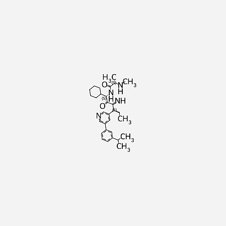 CC[C@H](C(=N)C(=O)[C@@H](NC(=O)[C@H](C)NC)C1CCCCC1)c1cncc(-c2cccc(C(C)C)c2)c1